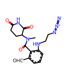 CN(C(=O)c1c(C=O)cccc1NCCN=[N+]=[N-])C1CCC(=O)NC1=O